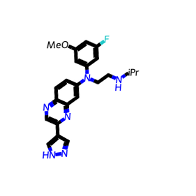 COc1cc(F)cc(N(CCNC(C)C)c2ccc3ncc(-c4cn[nH]c4)nc3c2)c1